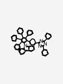 c1ccc2c3ccccc3n(-c3c(C4=CC=C(c5nc(-c6ccccc6)nc(-c6ccccc6)n5)CC4)c(-c4ccccc4)c(-c4ccccc4)c(-c4ccccc4)c3-c3ccccc3)c2c#1